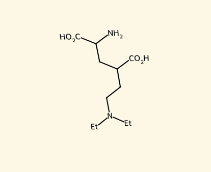 CCN(CC)CCC(CC(N)C(=O)O)C(=O)O